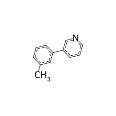 Cc1cc[c]c(-c2cccnc2)c1